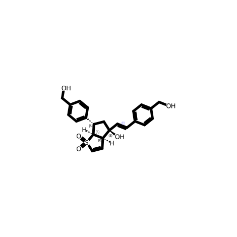 O=S1(=O)C=C[C@H]2[C@@H]1[C@H](c1ccc(CO)cc1)C[C@]2(O)/C=C/c1ccc(CO)cc1